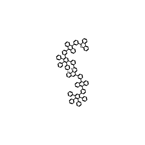 c1ccc(-c2cc(-c3cccc(-c4c5ccccc5c(-c5cccc(-c6cc7cccnc7c7nc(-c8cccc(-c9cc(-c%10cccc(-c%11c%12ccccc%12c(-c%12cccc(-c%13nc%14ccccc%14c%14ccccc%13%14)c%12)c%12ccccc%11%12)c%10)c(-c%10ccccc%10)c(-c%10ccccc%10)c9-c9ccccc9)c8)ccc67)c5)c5ccccc45)c3)c(-c3ccccc3)c(-c3ccccc3)c2-c2ccccc2)cc1